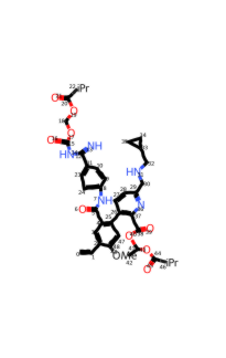 C=Cc1cc(C(=O)Nc2ccc(C(=N)NC(=O)OCOC(=O)C(C)C)cc2)c(-c2ccc(CNCC3CC3)nc2C(=O)OC(C)OC(=O)C(C)C)cc1OC